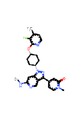 CCNc1cc2c(cn1)c(-c1ccn(C)c(=O)c1)nn2[C@H]1CC[C@@H](Oc2nccc(C(F)(F)F)c2F)CC1